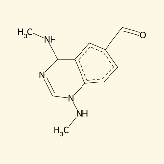 CNC1N=CN(NC)c2ccc(C=O)cc21